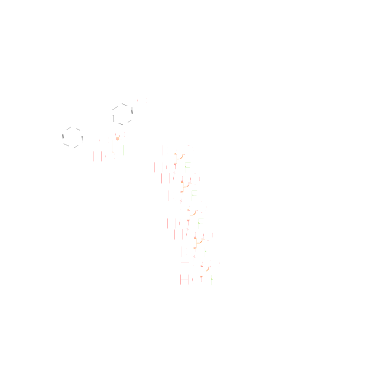 CCCCCCCCCCCCCCCCCCOc1ccc(C(Cc2ccccc2)OP(=O)(O)F)cc1.O=P(O)(O)F.O=P(O)(O)F.O=P(O)(O)F.O=P(O)(O)F.O=P(O)(O)F